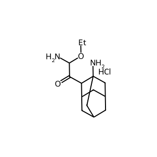 CCOC(N)C(=O)C1C2CC3CC(C2)CC1(N)C3.Cl